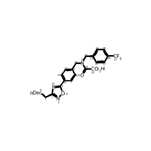 CCCCCCCCCCCc1noc(-c2ccc(CN(Cc3ccc(C(F)(F)F)cc3)C(=O)C(=O)O)cc2)n1